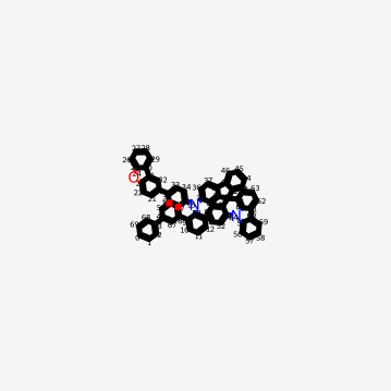 c1ccc(-c2cccc(-c3ccccc3N(c3ccc(-c4ccc5oc6ccccc6c5c4)cc3)c3ccc4c(c3)C3(c5ccccc5-4)c4ccccc4-n4c5ccccc5c5cccc3c54)c2)cc1